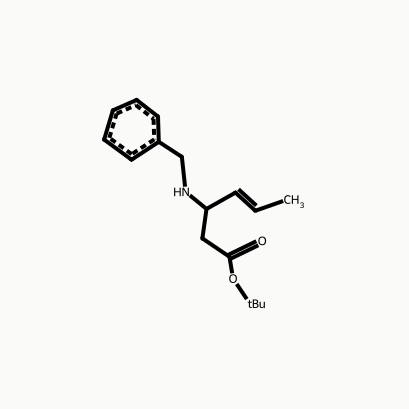 C/C=C/C(CC(=O)OC(C)(C)C)NCc1ccccc1